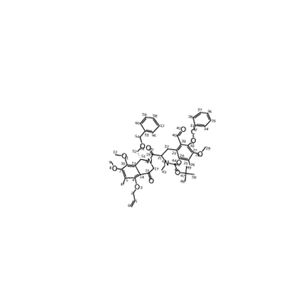 C=CCOc1c(C)c(OC)c(OC)c2c1C(=O)CN(C(=O)C(Cc1cc(C)c(OC)c(OCc3ccccc3)c1C=O)N(C)C(=O)OC(C)(C)C)[C@H]2COCc1ccccc1